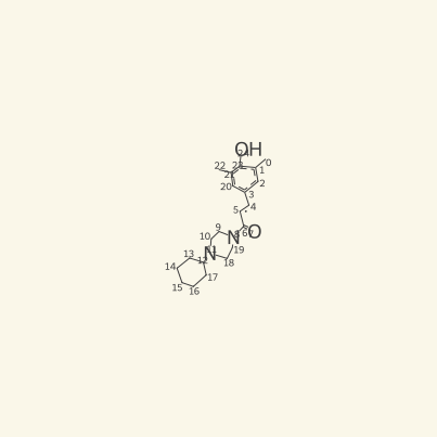 Cc1cc(C[CH]C(=O)N2CCN(C3CCCCC3)CC2)cc(C)c1O